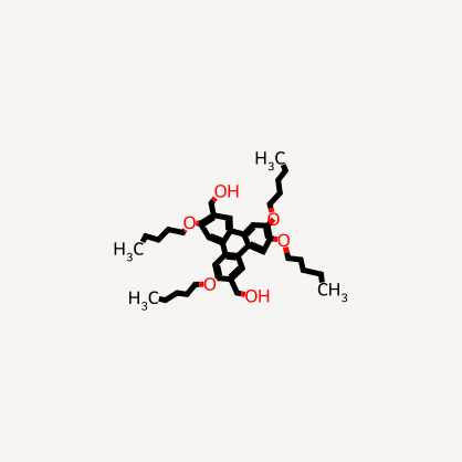 CCCCCOc1cc2c(cc1CO)c1cc(OCCCCC)c(OCCCCC)cc1c1cc(CO)c(OCCCCC)cc12